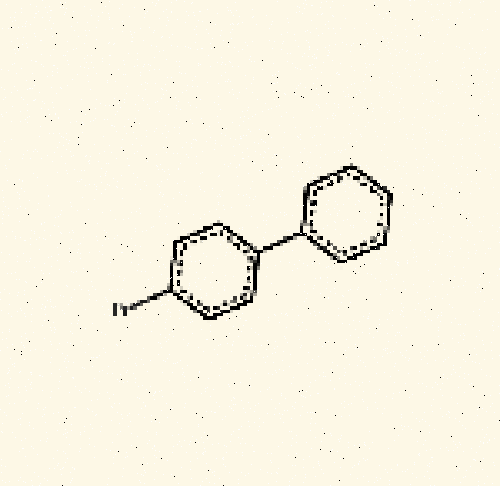 CC(C)c1ccc(-c2[c]cccc2)cc1